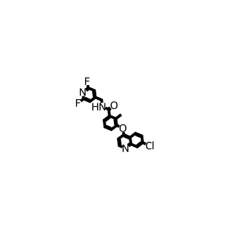 Cc1c(Oc2ccnc3cc(Cl)ccc23)cccc1C(=O)NCc1cc(F)nc(F)c1